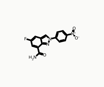 NC(=O)c1cc(F)cc2cn(-c3ccc([N+](=O)[O-])cc3)nc12